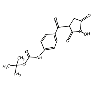 CC(C)(C)OC(=O)Nc1ccc(C(=O)C2CC(=O)N(O)C2=O)cc1